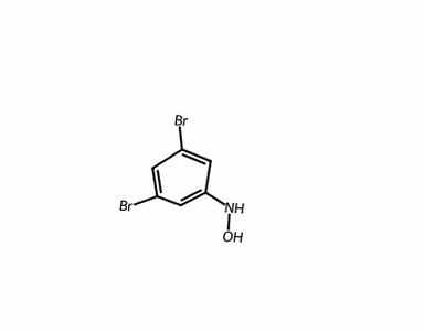 ONc1cc(Br)cc(Br)c1